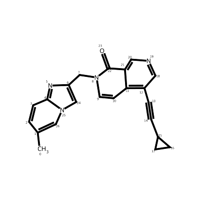 Cc1ccc2nc(Cn3ccc4c(C#CC5CC5)cncc4c3=O)cn2c1